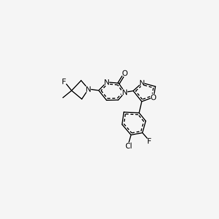 CC1(F)CN(c2ccn(-c3ncoc3-c3ccc(Cl)c(F)c3)c(=O)n2)C1